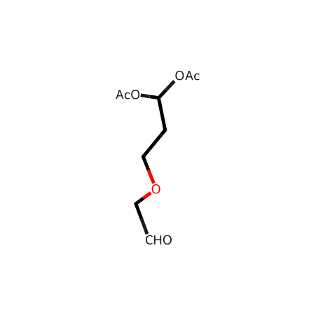 CC(=O)OC(CCOCC=O)OC(C)=O